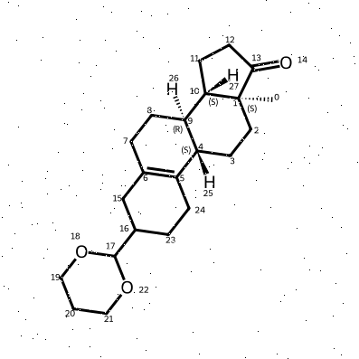 C[C@]12CC[C@@H]3C4=C(CC[C@H]3[C@@H]1CCC2=O)CC(C1OCCCO1)CC4